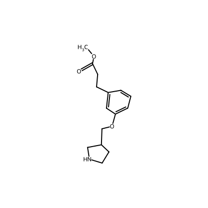 COC(=O)CCc1cccc(OCC2CCNC2)c1